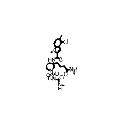 CNC(=O)CCCC1(NC(=O)c2cc3c(Cl)c(C)ccc3n2C)CCCN(S(=O)(=O)NC(=O)NC)C1